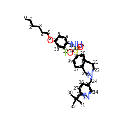 CCCCCCOc1ccc(NS(=O)(=O)c2ccc3c(c2)CCN(Cc2ccc(C(C)(C)C)nc2)C3)c(F)c1